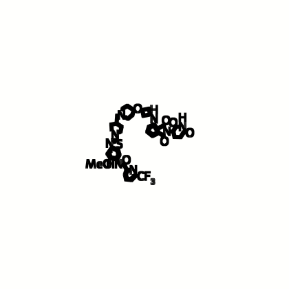 COc1cc2nc(N3CCC(CN4CCC(O[C@H]5C[C@H](Nc6cccc7c6C(=O)N(C6CCC(=O)NC6=O)C7=O)C5)CC4)CC3)sc2cc1NC(=O)c1cccc(C(F)(F)F)n1